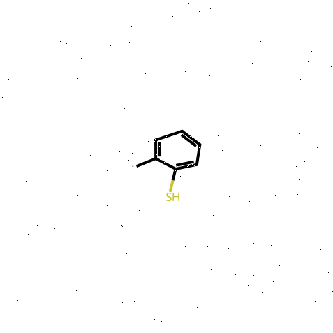 [CH2]c1ccccc1S